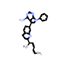 C/C=C\C=C/C(C)c1ccc2ccc(-c3cn(-c4ccccc4)c4ncnc(N)c34)cc2n1